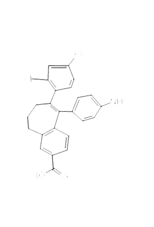 Nc1ccc(C2=C(c3ccc(Cl)cc3Cl)CCCc3cc(C(=O)O)ccc32)cc1